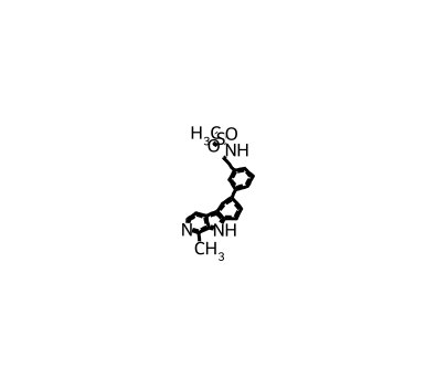 Cc1nccc2c1[nH]c1ccc(-c3cccc(CNS(C)(=O)=O)c3)cc12